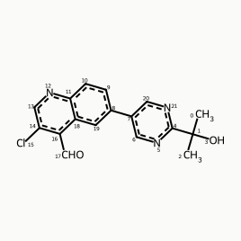 CC(C)(O)c1ncc(-c2ccc3ncc(Cl)c(C=O)c3c2)cn1